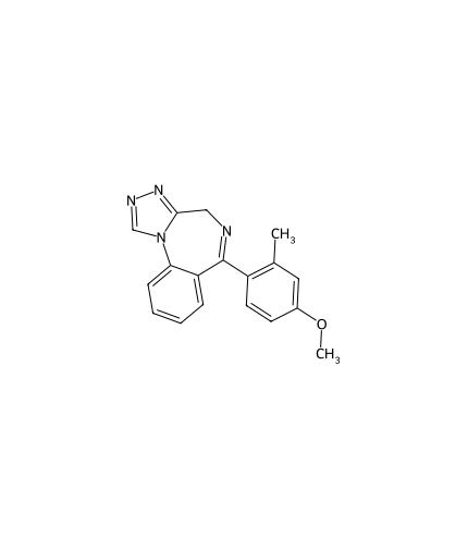 COc1ccc(C2=NCc3nncn3-c3ccccc32)c(C)c1